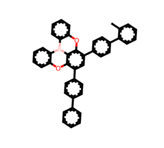 Cc1ccccc1-c1ccc(-c2cc(-c3ccc(-c4ccccc4)cc3)c3c4c2Oc2ccccc2B4c2ccccc2O3)cc1